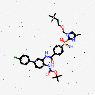 Cc1cn(COCC[Si](C)(C)C)c(S(=N)(=O)c2ccc(C(=O)Nc3cc(-c4ccc(F)cc4)ccc3NC(=O)OC(C)(C)C)cc2)n1